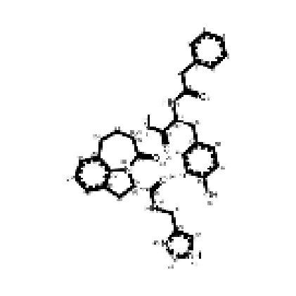 O=C(Cc1ccccc1)N[C@@H](Cc1ccc(O)cc1)C(=O)N[C@H]1CCc2cccc3c2N(C1=O)[C@H](C(=O)NCc1c[nH]nn1)C3